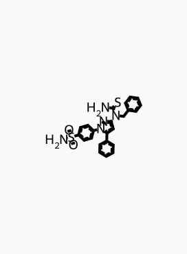 NC(=S)N(Cc1ccccc1)c1cc(-c2ccccc2)n(-c2ccc(S(N)(=O)=O)cc2)n1